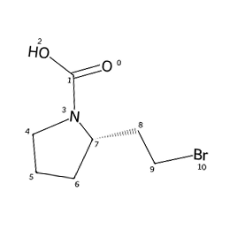 O=C(O)N1CCC[C@H]1CCBr